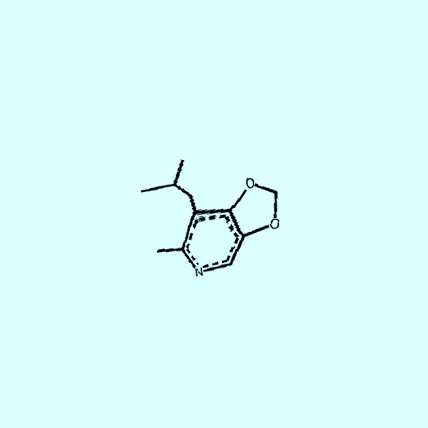 Cc1ncc2c(c1C(C)C)OCO2